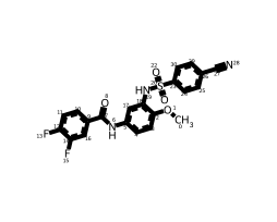 COc1ccc(NC(=O)c2ccc(F)c(F)c2)cc1NS(=O)(=O)c1ccc(C#N)cc1